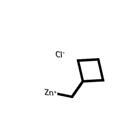 [Cl-].[Zn+][CH2]C1CCC1